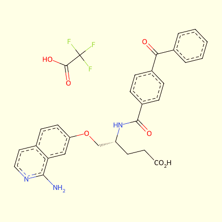 Nc1nccc2ccc(OC[C@@H](CCC(=O)O)NC(=O)c3ccc(C(=O)c4ccccc4)cc3)cc12.O=C(O)C(F)(F)F